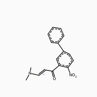 CN(C)/C=C/C(=O)c1cc(-c2ccccc2)ccc1[N+](=O)[O-]